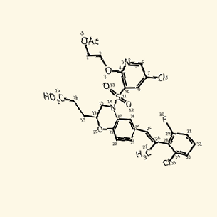 CC(=O)OCCOc1ncc(Cl)cc1S(=O)(=O)N1C[C@H](CCC(=O)O)Oc2ccc(C=C(C)c3c(F)cccc3Cl)cc21